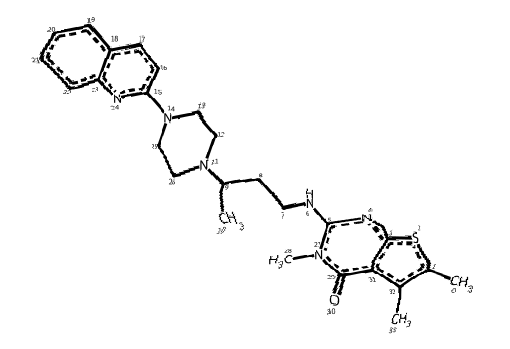 Cc1sc2nc(NCCC(C)N3CCN(c4ccc5ccccc5n4)CC3)n(C)c(=O)c2c1C